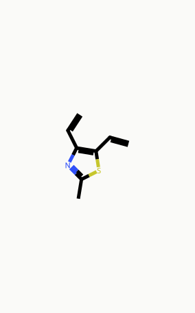 C=Cc1nc(C)sc1C=C